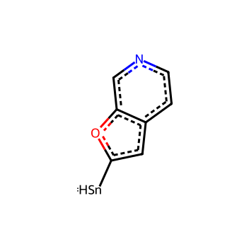 [SnH][c]1cc2ccncc2o1